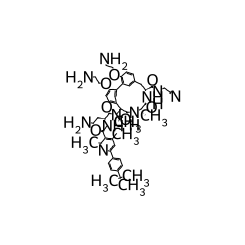 Cc1cc(-c2ccc(C(C)(C)C)cc2)nc(C)c1C(=O)N[C@@H](CCN)C(=O)N(C)[C@@H]1C(=O)N[C@@H](C)C(=O)N[C@H](C(=O)NCC#N)Cc2ccc(OCCN)c(c2)-c2cc1ccc2OCCN